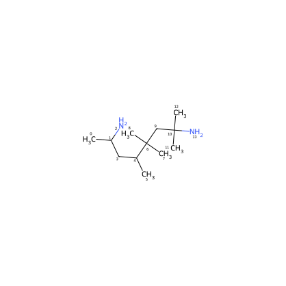 CC(N)CC(C)C(C)(C)CC(C)(C)N